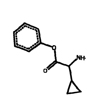 [NH]C(C(=O)Oc1ccccc1)C1CC1